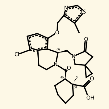 Cc1scnc1COc1ccc(Cl)c2c1[C@@H](CN1CC3(CC3)CC1=O)N(C(=O)[C@@H]1CCCC[C@]1(C)C(=O)O)CC2